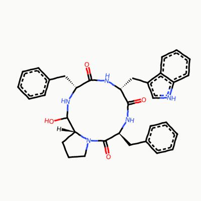 O=C1N[C@@H](Cc2ccccc2)C(=O)N2CCC[C@@H]2C(O)N[C@H](Cc2ccccc2)C(=O)N[C@@H]1Cc1c[nH]c2ccccc12